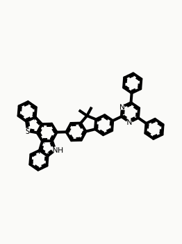 CC1(C)c2cc(-c3nc(-c4ccccc4)cc(-c4ccccc4)n3)ccc2-c2ccc(-c3cc4c5ccccc5sc4c4c3[nH]c3ccccc34)cc21